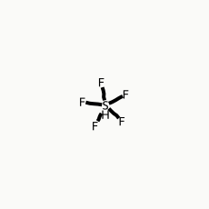 F[SH](F)(F)(F)F